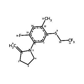 C=C1CCCN1c1cc(SCC(F)(F)F)c(C)cc1F